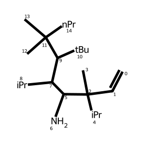 C=CC(C)(C(C)C)C(N)C(C(C)C)C(C(C)(C)C)C(C)(C)CCC